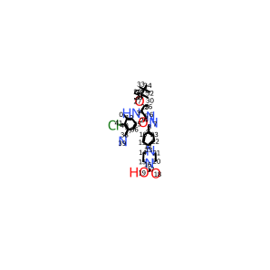 Cc1c(NC(c2nnc(-c3ccc(N4CCN(C(=O)O)CC4)cc3)o2)C(C)O[Si](C)(C)C(C)(C)C)ccc(C#N)c1Cl